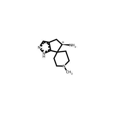 CN1CCC2(CC1)c1[nH]ncc1C[C@H]2N